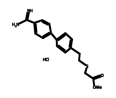 COC(=O)CSCCc1ccc(-c2ccc(C(=N)N)cc2)cc1.Cl